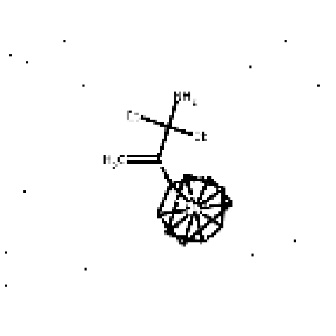 C=C(C(N)(CC)CC)[C]12[CH]3[CH]4[CH]5[CH]1[Fe]45321678[CH]2[CH]1[CH]6[CH]7[CH]28